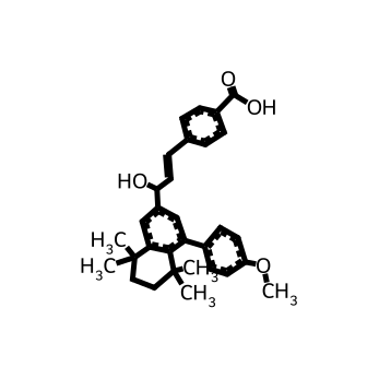 COc1ccc(-c2cc(C(O)C=Cc3ccc(C(=O)O)cc3)cc3c2C(C)(C)CCC3(C)C)cc1